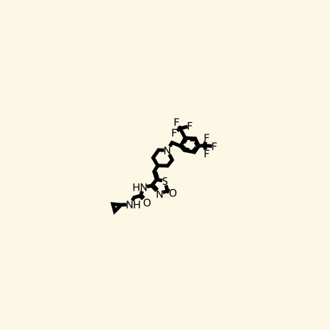 O=C(CNC1CC1)NC1=NC(=O)S/C1=C\C1CCN(Cc2ccc(C(F)(F)F)cc2C(F)(F)F)CC1